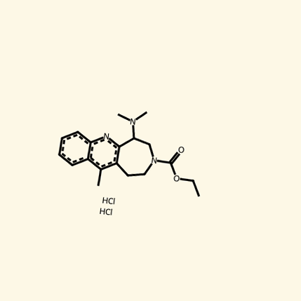 CCOC(=O)N1CCc2c(nc3ccccc3c2C)C(N(C)C)C1.Cl.Cl